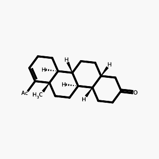 CC(=O)C1=CCC[C@H]2[C@@H]3CC[C@@H]4CC(=O)CC[C@@H]4[C@H]3CC[C@]12C